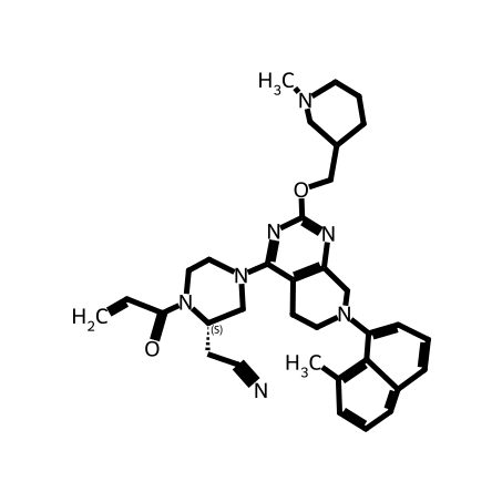 C=CC(=O)N1CCN(c2nc(OCC3CCCN(C)C3)nc3c2CCN(c2cccc4cccc(C)c24)C3)C[C@@H]1CC#N